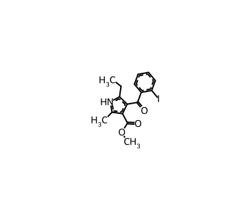 CCc1[nH]c(C)c(C(=O)OC)c1C(=O)c1ccccc1I